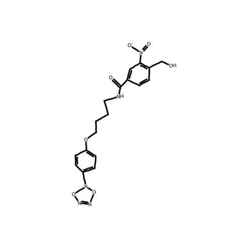 O=C(NCCCCOc1ccc(N2ON=NO2)cc1)c1ccc(CO)c([N+](=O)[O-])c1